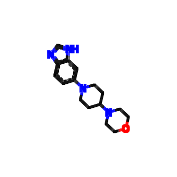 c1nc2ccc(N3CCC(N4CCOCC4)CC3)cc2[nH]1